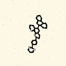 c1cnc(-c2ccc(-c3ccc4cc(-c5cc6ccccc6c6ccccc56)c5cccnc5c4n3)cc2)nc1